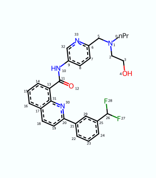 CCCN(CCO)Cc1ccc(NC(=O)c2cccc3ccc(-c4cccc(C(F)F)c4)nc23)cn1